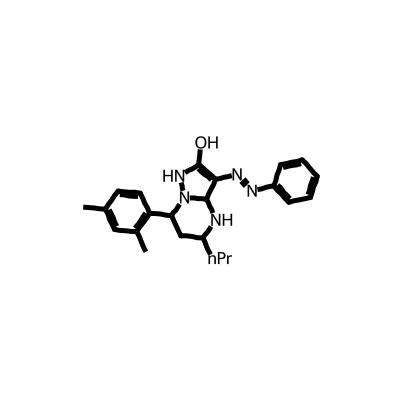 CCCC1CC(c2ccc(C)cc2C)N2NC(O)=C(N=Nc3ccccc3)C2N1